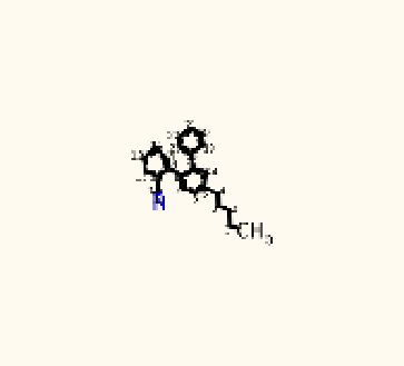 CCCCCc1ccc(-c2ccccc2C#N)c(-c2ccccc2)c1